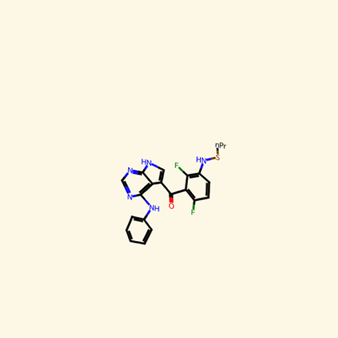 CCCSNc1ccc(F)c(C(=O)c2c[nH]c3ncnc(Nc4ccccc4)c23)c1F